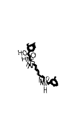 Cc1cccc(CC(=O)Nc2ccc(CCCCc3nnc(NC(=O)C(O)c4cccc(C)c4)s3)nn2)c1